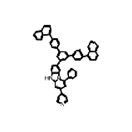 C1=C(c2ccncc2)C=C(c2ccccc2)N2c3cc(-c4cc(-c5ccc(-c6cccc7ccccc67)cc5)cc(-c5ccc(-c6cccc7ccccc67)cc5)c4)ccc3NC12